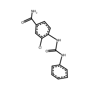 NC(=O)c1ccc(NC(=O)Nc2ccccc2)c(Cl)c1